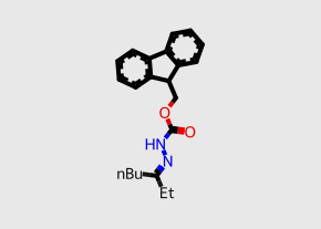 CCCC/C(CC)=N\NC(=O)OCC1c2ccccc2-c2ccccc21